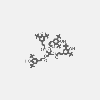 CC(C)(C)C1=CC(C=CC(=O)OCC(COC(=O)C=CC2C=C(C(C)(C)C)C(O)=C(C(C)(C)C)C2)(COC(=O)C=CC2C=C(C(C)(C)C)C(O)=C(C(C)(C)C)C2)COC(=O)C=CC2C=C(C(C)(C)C)C(O)=C(C(C)(C)C)C2)CC(C(C)(C)C)=C1O